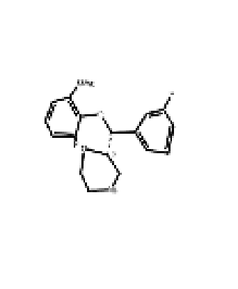 COc1cccc(F)c1OC(c1cccc(F)c1)[C@@H]1CNCCO1